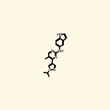 Cc1cnc(Nc2ccc3[nH]ccc3c2)nc1-c1cnn(C(C)C)c1